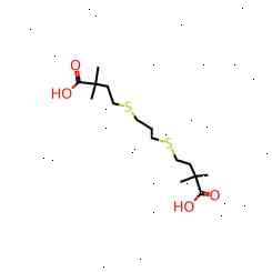 CC(C)(CCSCCCSCCC(C)(C)C(=O)O)C(=O)O